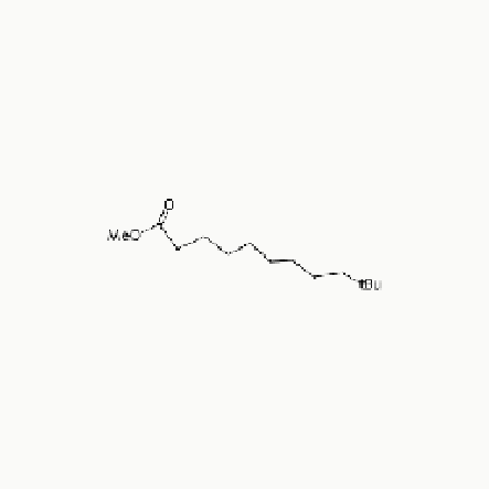 COC(=O)CCCCCCCCC(C)(C)C